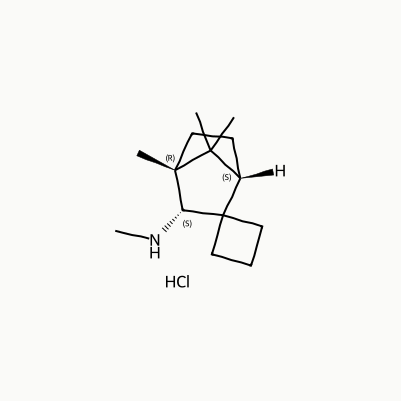 CN[C@H]1C2(CCC2)[C@H]2CC[C@]1(C)C2(C)C.Cl